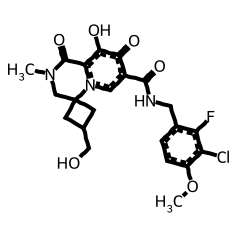 COc1ccc(CNC(=O)c2cn3c(c(O)c2=O)C(=O)N(C)CC32CC(CO)C2)c(F)c1Cl